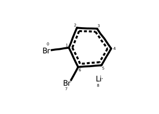 Brc1ccccc1Br.[Li]